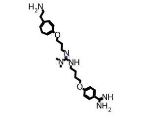 CN(C)/C(=N\CCCOC1=CCC=C(CCN)C=C1)NCCCCOc1ccc(C(=N)N)cc1